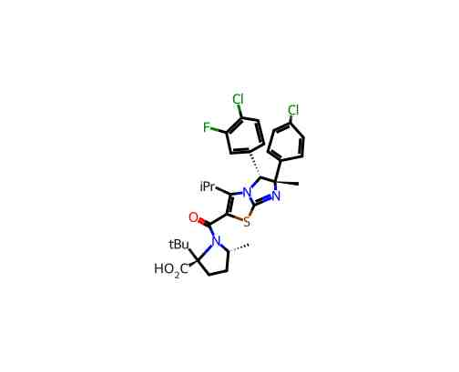 CC(C)C1=C(C(=O)N2[C@H](C)CC[C@]2(C(=O)O)C(C)(C)C)SC2=N[C@@](C)(c3ccc(Cl)cc3)[C@@H](c3ccc(Cl)c(F)c3)N21